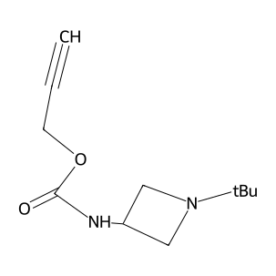 C#CCOC(=O)NC1CN(C(C)(C)C)C1